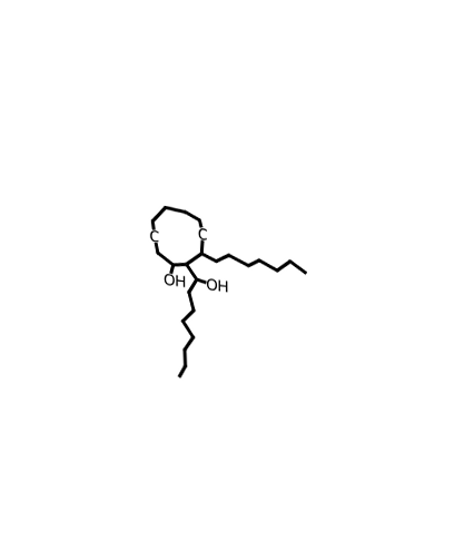 CCCCCCCC(O)C1C(O)CCCCCCCC1CCCCCCC